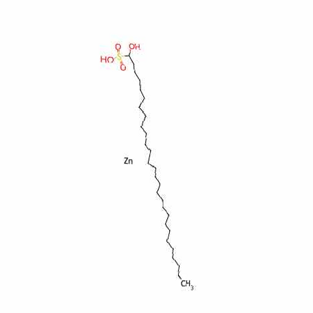 CCCCCCCCCCCCCCCCCCCCCCCCCCCC(O)S(=O)(=O)O.[Zn]